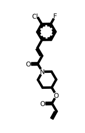 C=CC(=O)OC1CCN(C(=O)/C=C/c2ccc(F)c(Cl)c2)CC1